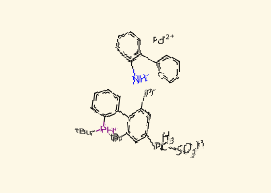 CC(C)c1cc(C(C)C)c(-c2ccccc2[PH+](C(C)(C)C)C(C)(C)C)c(C(C)C)c1.CS(=O)(=O)O.[NH-]c1ccccc1-c1[c-]cccc1.[Pd+2]